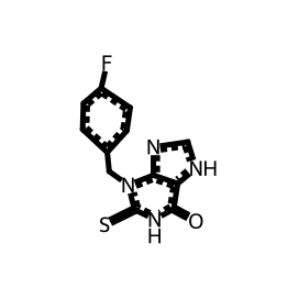 O=c1[nH]c(=S)n(Cc2ccc(F)cc2)c2nc[nH]c12